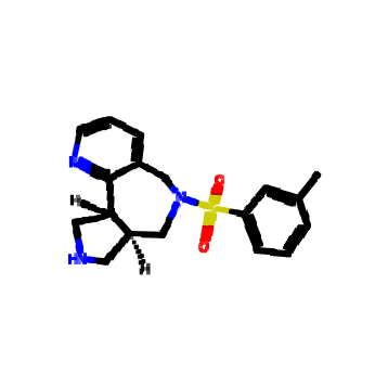 Cc1cccc(S(=O)(=O)N2Cc3cccnc3[C@H]3CNC[C@@H]3C2)c1